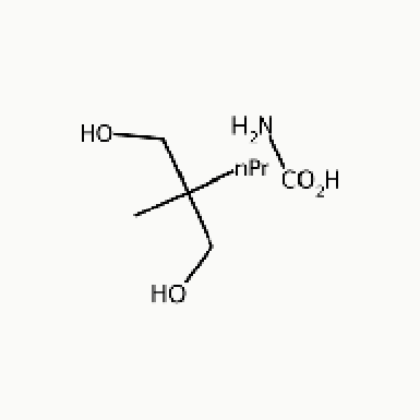 CCCC(C)(CO)CO.NC(=O)O